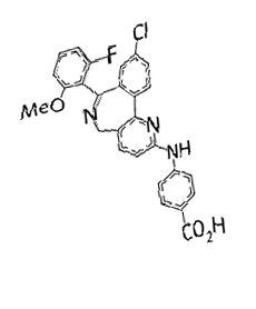 COc1cccc(F)c1C1=NCc2ccc(Nc3ccc(C(=O)O)cc3)nc2-c2ccc(Cl)cc21